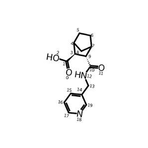 O=C(O)[C@H]1C2CCC(C2)[C@@H]1C(=O)NCc1cccnc1